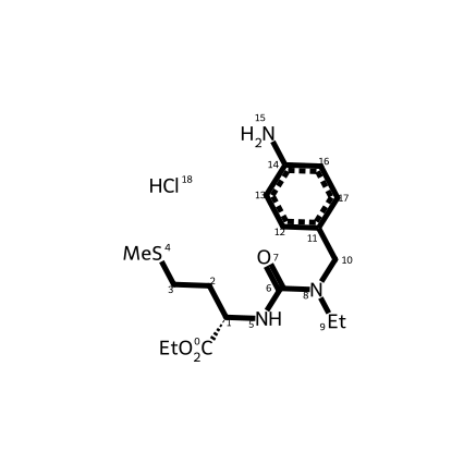 CCOC(=O)[C@H](CCSC)NC(=O)N(CC)Cc1ccc(N)cc1.Cl